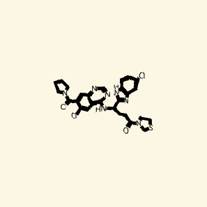 O=C(CCC(Nc1ncnc2cc(C(=O)N3CCCC3)c(Cl)cc12)c1nc2cc(Cl)ccc2[nH]1)N1CCSC1